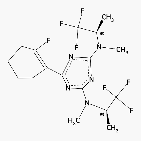 C[C@@H](N(C)c1nc(C2=C(F)CCCC2)nc(N(C)[C@H](C)C(F)(F)F)n1)C(F)(F)F